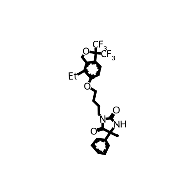 CCc1c(OCCCCN2C(=O)NC(C)(c3ccccc3)C2=O)ccc2c1COC2(C(F)(F)F)C(F)(F)F